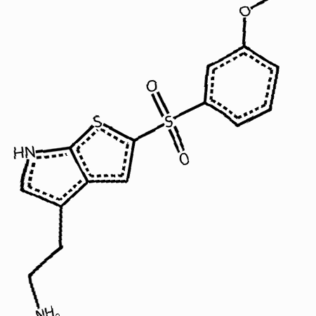 COc1cccc(S(=O)(=O)c2cc3c(CCN)c[nH]c3s2)c1